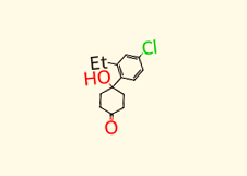 CCc1cc(Cl)ccc1C1(O)CCC(=O)CC1